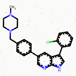 CN1CCN(Cc2ccc(-c3cnc4[nH]cc(-c5ccccc5Cl)c4c3)cc2)CC1